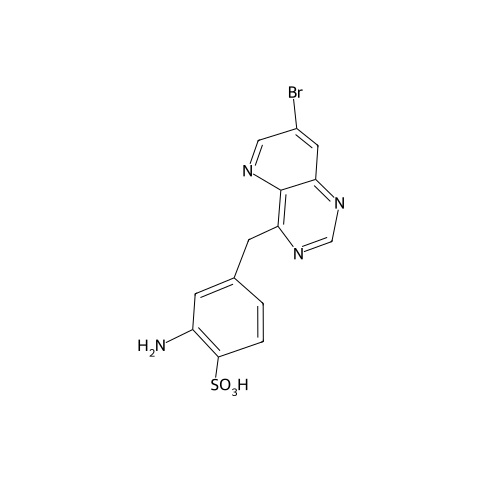 Nc1cc(Cc2ncnc3cc(Br)cnc23)ccc1S(=O)(=O)O